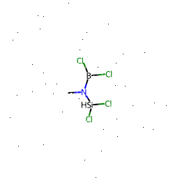 CN(B(Cl)Cl)[SiH](Cl)Cl